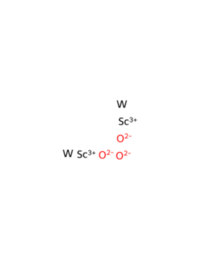 [O-2].[O-2].[O-2].[Sc+3].[Sc+3].[W].[W]